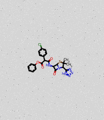 CC1(C)SC2C(NC(=O)C(C(=O)Oc3ccccc3)c3ccc(Cl)cc3)C(=O)N2C1c1nnn[nH]1